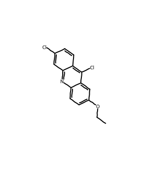 CCOc1ccc2nc3cc(Cl)ccc3c(Cl)c2c1